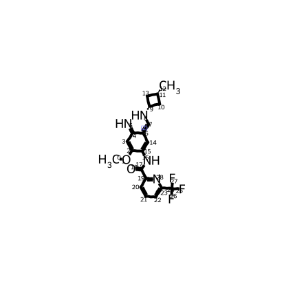 COC1=CC(=N)/C(=C\N[C@H]2C[C@@H](C)C2)C=C1NC(=O)c1cccc(C(F)(F)F)n1